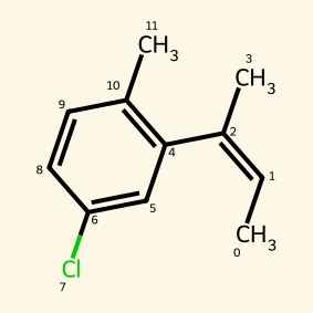 C/C=C(/C)c1cc(Cl)ccc1C